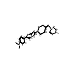 CN1CCN(CC2CCN(c3nn4cc(-c5ccc(N(C)C)cc5)nc4s3)CC2)CC1